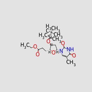 CCOC(=O)CC[C@H]1O[C@@H](n2cc(C)c(=O)[nH]c2=O)C[C@@H]1O[Si](C)(C)C(C)(C)C